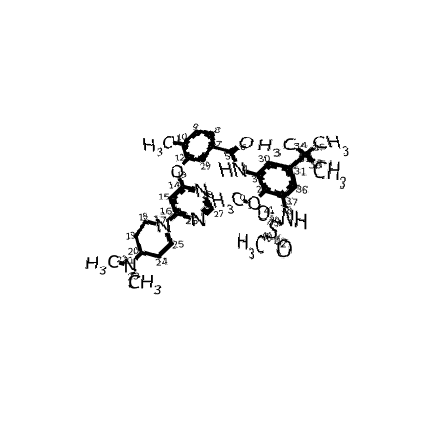 COc1c(NC(=O)c2ccc(C)c(Oc3cc(N4CCC(N(C)C)CC4)ncn3)c2)cc(C(C)(C)C)cc1NS(C)(=O)=O